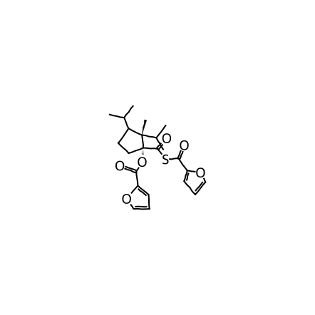 CC(C)C1CC[C@](OC(=O)c2ccco2)(C(=O)SC(=O)c2ccco2)[C@@]1(C)C(C)C